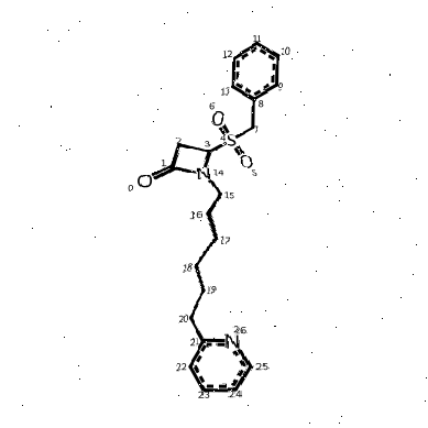 O=C1CC(S(=O)(=O)Cc2ccccc2)N1CCCCCCc1ccccn1